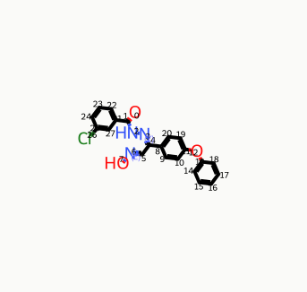 O=C(N/N=C(\C=N\O)c1ccc(Oc2ccccc2)cc1)c1cccc(Cl)c1